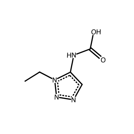 CCn1nncc1NC(=O)O